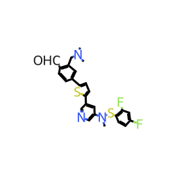 CN(C)Cc1cc(-c2ccc(-c3cncc(N(C)Sc4ccc(F)cc4F)c3)s2)ccc1C=O